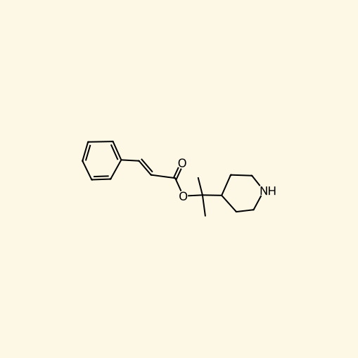 CC(C)(OC(=O)/C=C/c1ccccc1)C1CCNCC1